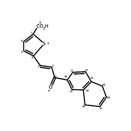 O=C(C=Cc1ccc(C(=O)O)s1)c1ccc2c(c1)CC=CC2